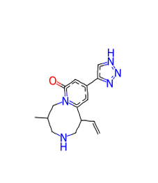 C=CC1CNCC(C)Cn2c1cc(-c1c[nH]nn1)cc2=O